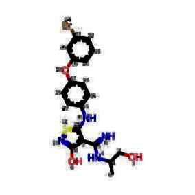 CC(CO)NC(=N)c1c(O)nsc1Nc1ccc(Oc2cccc(Br)c2)cc1